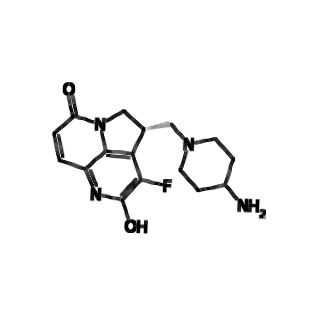 NC1CCN(C[C@H]2Cn3c(=O)ccc4nc(O)c(F)c2c43)CC1